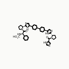 O=C(O)N[C@@H](C(=O)N1CCC[C@H]1c1ncc(-c2ccc(-c3ccc(-c4cnc([C@@H]5CCCN5C(=O)c5cnc[nH]5)[nH]4)cc3)cc2)[nH]1)c1ccccc1